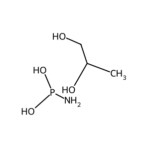 CC(O)CO.NP(O)O